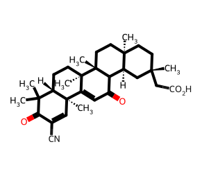 CC1(C)C(=O)C(C#N)=C[C@]2(C)C3=CC(=O)C4[C@@H]5C[C@@](C)(CC(=O)O)CC[C@]5(C)CC[C@@]4(C)[C@]3(C)CC[C@@H]12